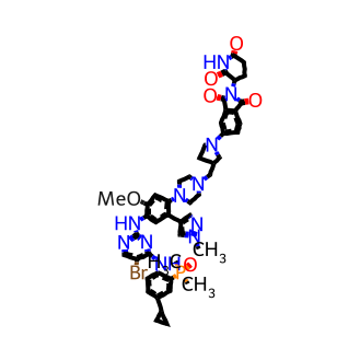 COc1cc(N2CCN(CC3CCN(c4ccc5c(c4)C(=O)N(C4CCC(=O)NC4=O)C5=O)C3)CC2)c(-c2cnn(C)c2)cc1Nc1ncc(Br)c(Nc2ccc(C3CC3)cc2P(C)(C)=O)n1